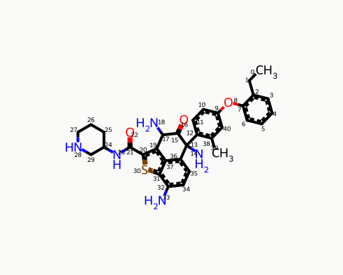 CCc1ccccc1Oc1ccc(C2(N)C(=O)C(N)c3c(C(=O)NC4CCCNC4)sc4c(N)ccc2c34)c(C)c1